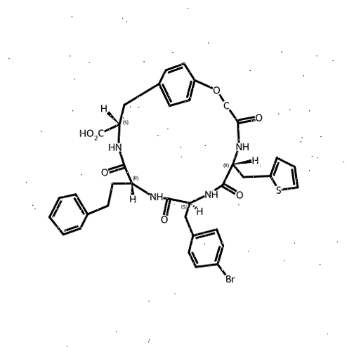 O=C1COc2ccc(cc2)C[C@@H](C(=O)O)NC(=O)[C@@H](CCc2ccccc2)NC(=O)[C@H](Cc2ccc(Br)cc2)NC(=O)[C@@H](Cc2cccs2)N1